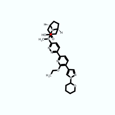 CCOc1nc(-c2ccc(N(C)C3C[C@H]4CC[C@@H](C3)N4C(=O)O)nn2)ccc1-c1cnn(C2CCCCO2)c1